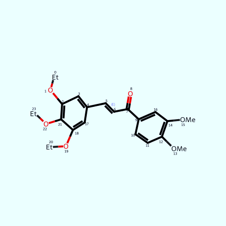 CCOc1cc(/C=C/C(=O)c2ccc(OC)c(OC)c2)cc(OCC)c1OCC